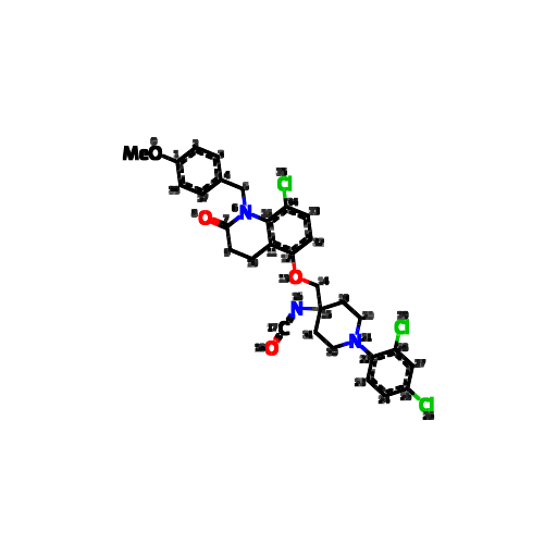 COc1ccc(CN2C(=O)CCc3c(OCC4(N=C=O)CCN(c5ccc(Cl)cc5Cl)CC4)ccc(Cl)c32)cc1